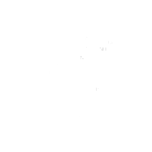 CC(C)(C)NC(=O)N1C[C@@H](P(c2ccccc2)c2ccccc2)C[C@H]1CP(c1ccccc1)c1ccccc1